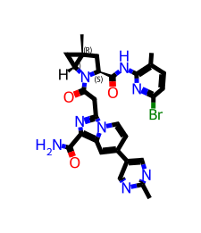 Cc1ncc(-c2ccn3c(CC(=O)N4[C@H](C(=O)Nc5nc(Br)ccc5C)C[C@@]5(C)C[C@@H]45)nc(C(N)=O)c3c2)cn1